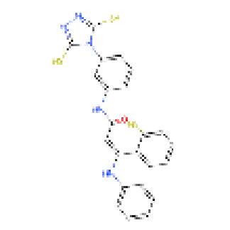 O=C(/C=C(/Nc1ccccc1)c1ccccc1S)Nc1cccc(-n2c(S)nnc2S)c1